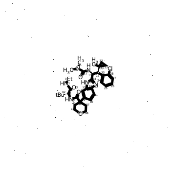 CCNC(=O)[C@H](NC(=O)C1(c2ccc3nc([C@@H](NC(=O)N(C)C)[C@H](c4ccccc4Cl)C4(C)CC4)[nH]c3c2)CCOCC1)C(C)(C)C